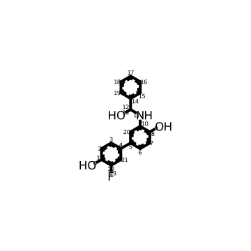 Oc1ccc(-c2ccc(O)c(NC(O)c3ccccc3)c2)cc1F